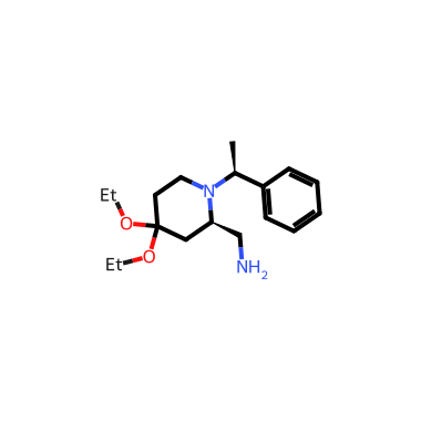 CCOC1(OCC)CCN([C@@H](C)c2ccccc2)[C@@H](CN)C1